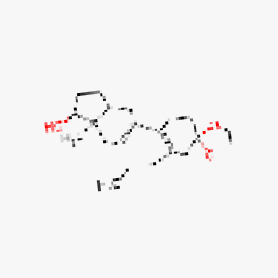 CCCC1=C(C2=CCC3(C)C(CC[C@@H]3O)C2)CCC2(C1)OCCO2